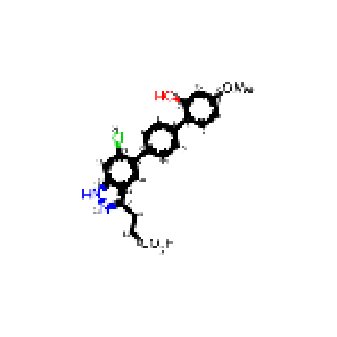 COc1ccc(-c2ccc(-c3cc4c(CCC(=O)O)n[nH]c4cc3Cl)cc2)c(O)c1